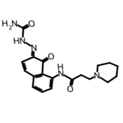 NC(=O)N/N=C1\C=Cc2cccc(NC(=O)CCN3CCCCC3)c2C1=O